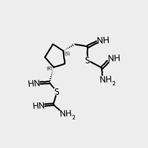 N=C(N)SC(=N)C[C@H]1CC[C@@H](C(=N)SC(=N)N)C1